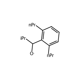 CCCc1cccc(CCC)c1C([O])C(C)C